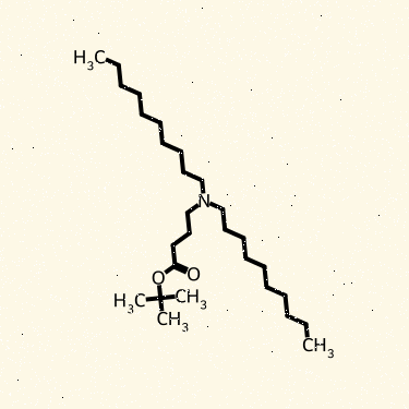 CCCCCCCCCCN(CCCCCCCCCC)CCCC(=O)OC(C)(C)C